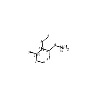 CC[C@@H](C)N(CC)C(I)CN